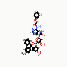 COc1ccc(C(OC[C@H]2O[C@@H](n3c(=O)[nH]c4c(NC(=O)COc5ccccc5)ncnc43)C[C@@H]2O)(c2ccccc2)c2ccc(OC)cc2)cc1